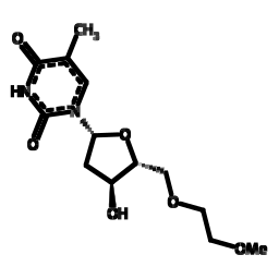 COCCOC[C@H]1O[C@@H](n2cc(C)c(=O)[nH]c2=O)C[C@@H]1O